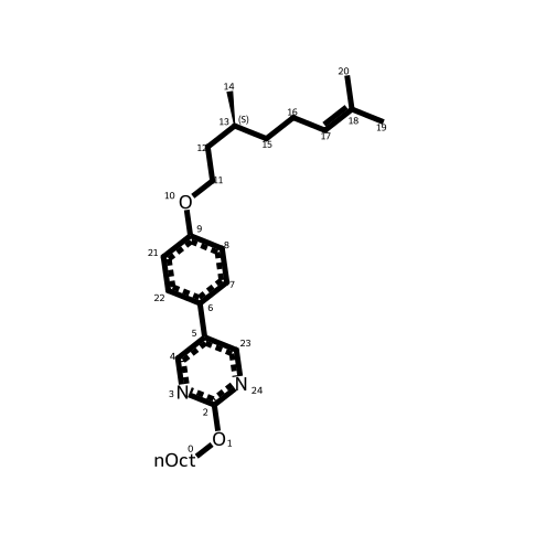 CCCCCCCCOc1ncc(-c2ccc(OCC[C@@H](C)CCC=C(C)C)cc2)cn1